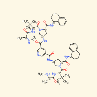 CN[C@@H](C)C(=O)N[C@H](C(=O)N1C[C@@H](NC(=O)c2cncc(C(=O)N[C@H]3C[C@@H](C(=O)N[C@@H]4CCCc5ccccc54)N(C(=O)[C@@H](NC(=O)[C@H](C)NC)C(C)(C)C)C3)c2)C[C@H]1C(=O)N[C@@H]1CCCc2ccccc21)C(C)(C)C